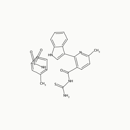 Cc1cc2ccc1NS2(=O)=O.Cc1ccc(C(=O)NC(N)=S)c(-c2c[nH]c3ccccc23)n1